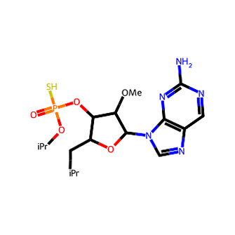 COC1C(OP(=O)(S)OC(C)C)C(CC(C)C)OC1n1cnc2cnc(N)nc21